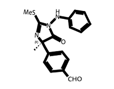 CSC1=N[C@](C)(c2ccc(C=O)cc2)C(=O)N1Nc1ccccc1